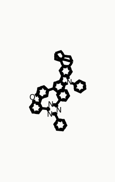 c1ccc(-c2nc(-c3ccccc3)nc(-c3cccc4oc5ccc(-c6ccc7c(c6)c6cc8c(cc6n7-c6ccccc6)C6CC7CC(C6)C8C7)cc5c34)n2)cc1